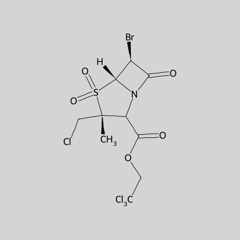 C[C@]1(CCl)C(C(=O)OCC(Cl)(Cl)Cl)N2C(=O)[C@H](Br)[C@H]2S1(=O)=O